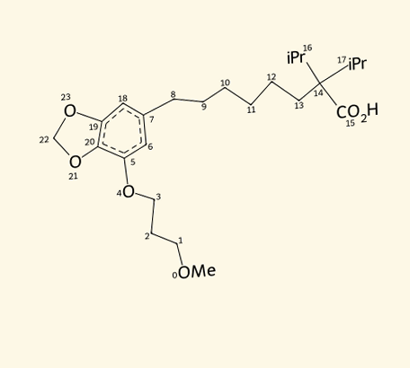 COCCCOc1cc(CCCCCCC(C(=O)O)(C(C)C)C(C)C)cc2c1OCO2